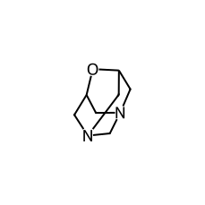 C1C2CN3CC(CN1C3)O2